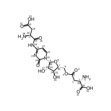 N[C@@H](CC(=O)OC[C@H]1O[C@@H](n2ccc(NC(=O)[C@@H](N)CC(=O)O)nc2=O)[C@@H](O)[C@@H]1O)C(=O)O